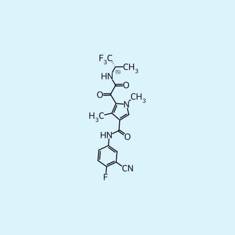 Cc1c(C(=O)Nc2ccc(F)c(C#N)c2)cn(C)c1C(=O)C(=O)N[C@@H](C)C(F)(F)F